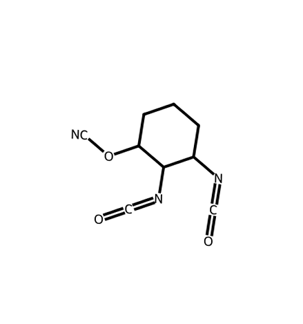 N#COC1CCCC(N=C=O)C1N=C=O